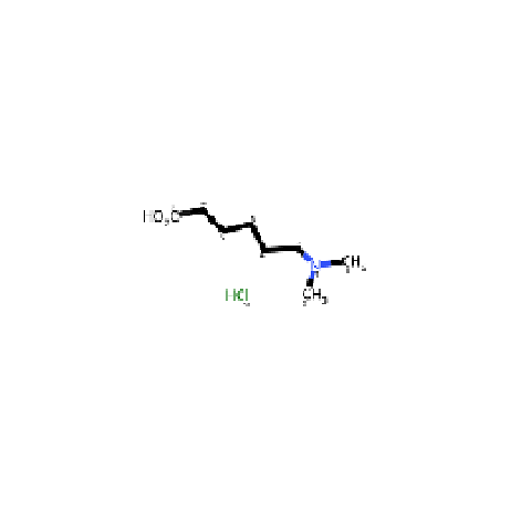 CN(C)CCCCCC(=O)O.Cl